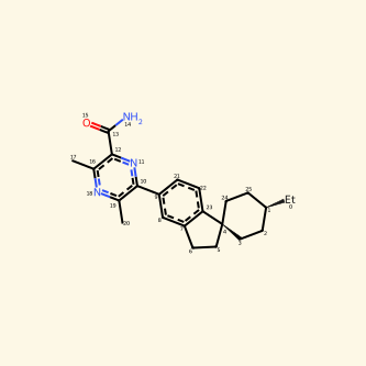 CC[C@H]1CC[C@]2(CCc3cc(-c4nc(C(N)=O)c(C)nc4C)ccc32)CC1